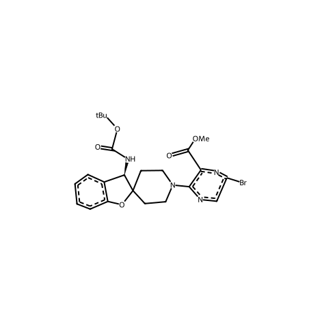 COC(=O)c1nc(Br)cnc1N1CCC2(CC1)Oc1ccccc1[C@H]2NC(=O)OC(C)(C)C